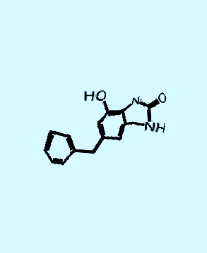 O=C1[N]c2c(O)cc(Cc3ccccc3)cc2N1